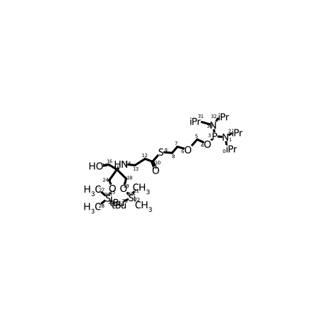 CC(C)N(C(C)C)P(OCOCCSC(=O)CCNC(CO)(CO[Si](C)(C)C(C)(C)C)CO[Si](C)(C)C(C)(C)C)N(C(C)C)C(C)C